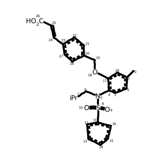 Cc1ccc(N(CC(C)C)S(=O)(=O)c2ccccc2)c(OCc2ccc(C=CC(=O)O)cc2)c1